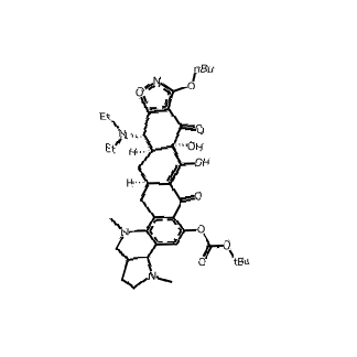 CCCCOc1noc2c1C(=O)[C@@]1(O)C(O)=C3C(=O)c4c(OC(=O)OC(C)(C)C)cc5c(c4C[C@H]3C[C@H]1[C@@H]2N(CC)CC)N(C)CC1CCN(C)C51